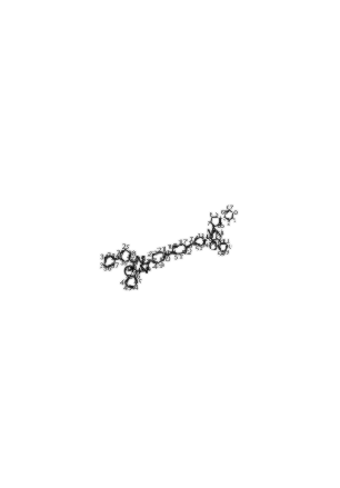 c1ccc(-c2cccc(-c3nc(-c4ccc(-c5ccc(-c6ccc(-c7nc(-c8cccc(-c9ccccc9)c8)c8oc9ccccc9c8n7)cc6)cc5)cc4)c4oc5ccccc5c4n3)c2)cc1